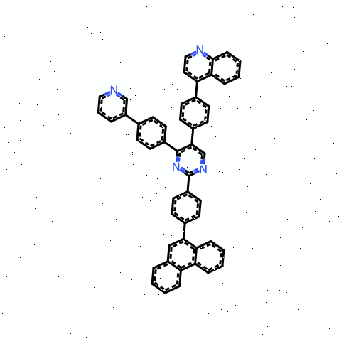 c1cncc(-c2ccc(-c3nc(-c4ccc(-c5cc6ccccc6c6ccccc56)cc4)ncc3-c3ccc(-c4ccnc5ccccc45)cc3)cc2)c1